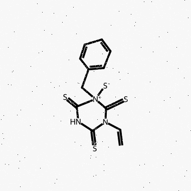 C=CN1C(=S)NC(=S)[N+]([S-])(Cc2ccccc2)C1=S